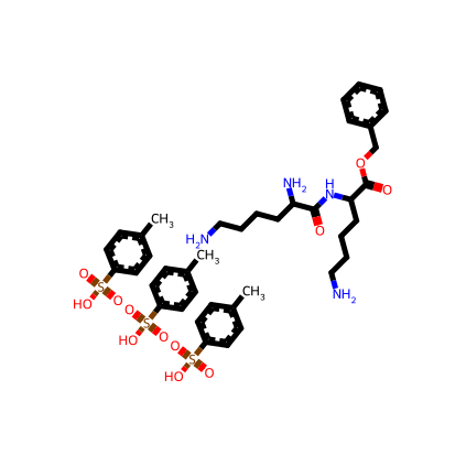 Cc1ccc(S(=O)(=O)O)cc1.Cc1ccc(S(=O)(=O)O)cc1.Cc1ccc(S(=O)(=O)O)cc1.NCCCCC(N)C(=O)NC(CCCCN)C(=O)OCc1ccccc1